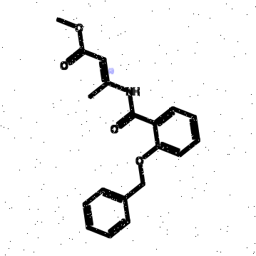 COC(=O)/C=C(\C)NC(=O)c1ccccc1OCc1ccccc1